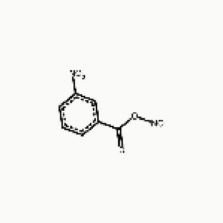 O=NOC(=O)c1cccc([N+](=O)[O-])c1